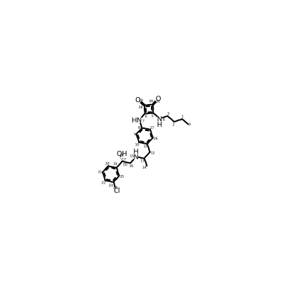 CCCCNc1c(Nc2ccc(CC(C)NC[C@@H](O)c3cccc(Cl)c3)cc2)c(=O)c1=O